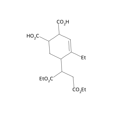 CCOC(=O)CC(C(=O)OCC)C1CC(C(=O)O)C(C(=O)O)C=C1CC